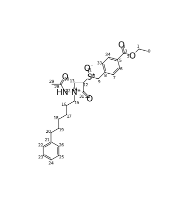 CCOC(=O)c1ccc(C[S+]([O-])C2C[N+](CCCCCCc3ccccc3)(NC(C)=O)C2=O)cc1